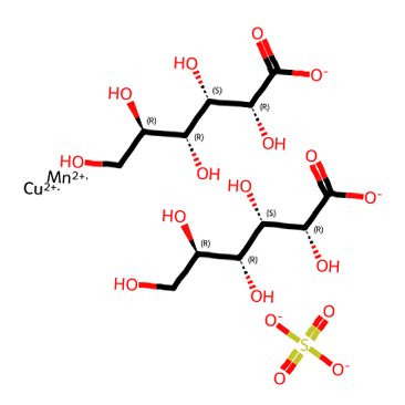 O=C([O-])[C@H](O)[C@@H](O)[C@H](O)[C@H](O)CO.O=C([O-])[C@H](O)[C@@H](O)[C@H](O)[C@H](O)CO.O=S(=O)([O-])[O-].[Cu+2].[Mn+2]